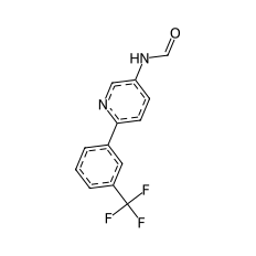 O=CNc1ccc(-c2cccc(C(F)(F)F)c2)nc1